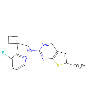 CCOC(=O)c1cc2cnc(NCC3(c4ncccc4F)CCC3)nc2s1